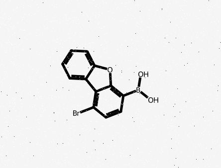 OB(O)c1ccc(Br)c2c1oc1ccccc12